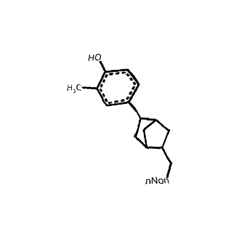 CCCCCCCCCCC1CC2CC1CC2c1ccc(O)c(C)c1